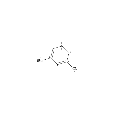 CC(C)(C)C1=CNCC(C#N)=C1